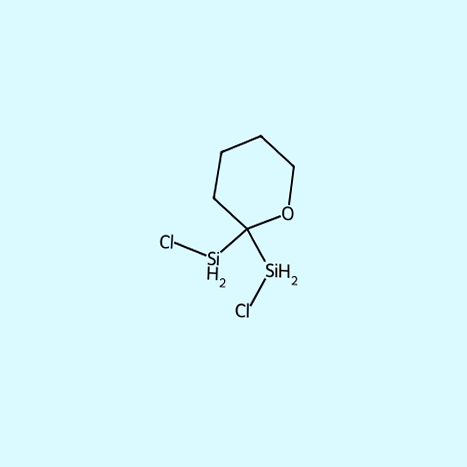 Cl[SiH2]C1([SiH2]Cl)CCCCO1